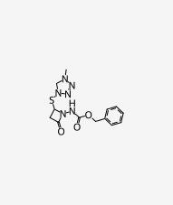 CN1CN(SC2CC(=O)N2NC(=O)OCc2ccccc2)N=N1